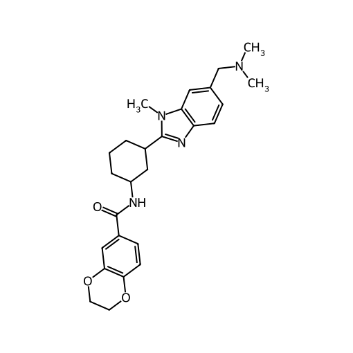 CN(C)Cc1ccc2nc(C3CCCC(NC(=O)c4ccc5c(c4)OCCO5)C3)n(C)c2c1